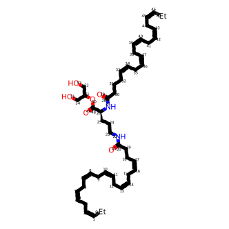 CC/C=C\C/C=C\C/C=C\C/C=C\C/C=C\C/C=C\CCC(=O)NCCC[C@H](NC(=O)CCC/C=C\C/C=C\C/C=C\C/C=C\C/C=C\CC)C(=O)OC(CO)CO